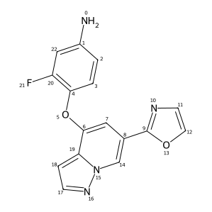 Nc1ccc(Oc2cc(-c3ncco3)cn3nccc23)c(F)c1